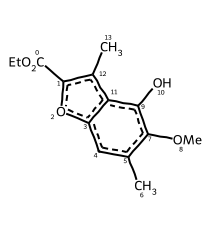 CCOC(=O)c1oc2cc(C)c(OC)c(O)c2c1C